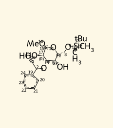 C#CC(O[C@H]1[C@@H](O)[C@@H](CO[Si](C)(C)C(C)(C)C)O[C@H](OC)[C@@H]1O)c1ccccc1